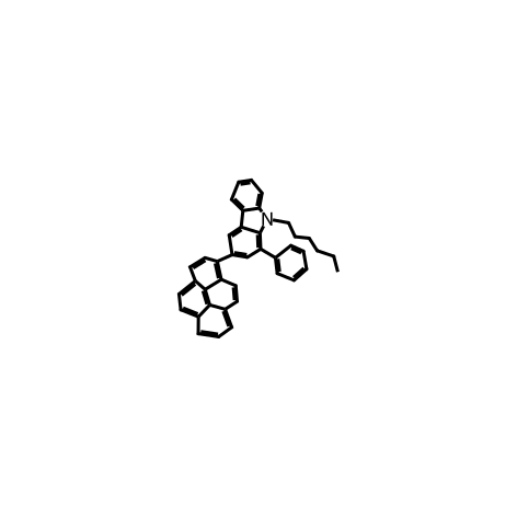 CCCCCCn1c2ccccc2c2cc(-c3ccc4ccc5cccc6ccc3c4c56)cc(-c3ccccc3)c21